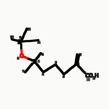 C=C(CCC[Si](C)(C)O[Si](C)(C)C)C(=O)O